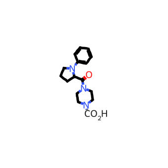 O=C(O)N1CCN(C(=O)C2CCCN2c2ccccc2)CC1